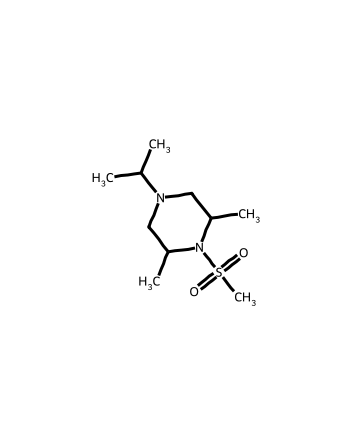 CC(C)N1CC(C)N(S(C)(=O)=O)C(C)C1